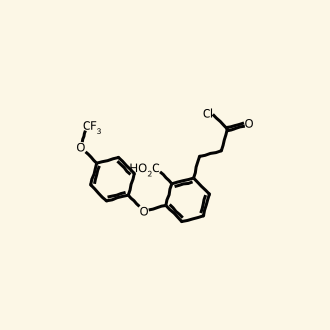 O=C(Cl)CCc1cccc(Oc2ccc(OC(F)(F)F)cc2)c1C(=O)O